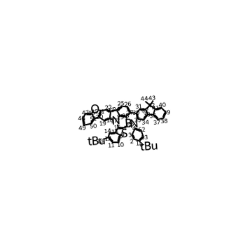 CC(C)(C)c1ccc(N2B3c4sc5ccc(C(C)(C)C)cc5c4-n4c5cc6c(cc5c5ccc(c3c54)-c3cc4c(cc32)-c2ccccc2C4(C)C)oc2ccccc26)cc1